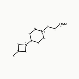 COCCN1CCC(N2CC(C)C2)CC1